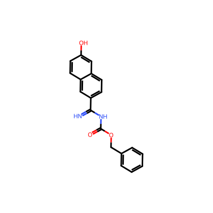 N=C(NC(=O)OCc1ccccc1)c1ccc2cc(O)ccc2c1